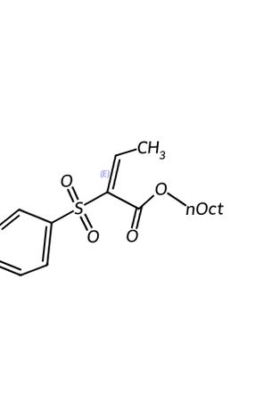 C/C=C(\C(=O)OCCCCCCCC)S(=O)(=O)c1ccccc1